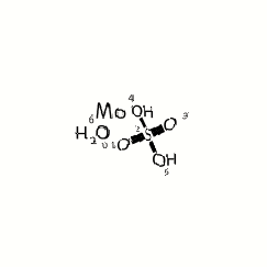 O.O=S(=O)(O)O.[Mo]